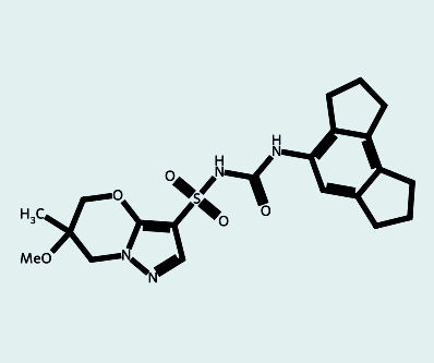 COC1(C)COc2c(S(=O)(=O)NC(=O)Nc3cc4c(c5c3CCC5)CCC4)cnn2C1